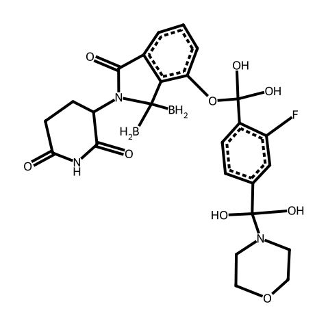 BC1(B)c2c(OC(O)(O)c3ccc(C(O)(O)N4CCOCC4)cc3F)cccc2C(=O)N1C1CCC(=O)NC1=O